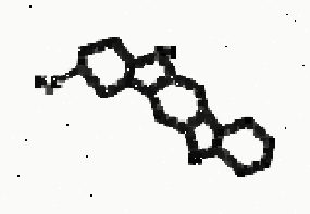 Cc1ccc2[nH]c3cc4c(cc3c2c1)oc1ccccc14